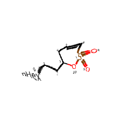 CCCCCCCCC1CC=CS(=O)(=O)O1